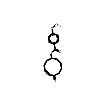 COc1ccc(C(=O)OC2CC/C=C\C(=O)CCCC2)cc1